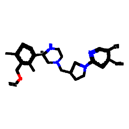 COc1cc(N2CCC(CN3CCN[C@H](c4ccc(C)c(COC=O)c4C)C3)C2)ncc1C#N